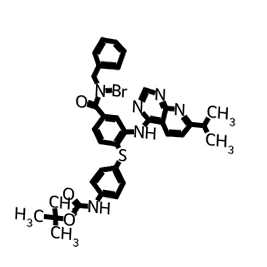 CC(C)c1ccc2c(Nc3cc(C(=O)N(Br)Cc4ccccc4)ccc3Sc3ccc(NC(=O)OC(C)(C)C)cc3)ncnc2n1